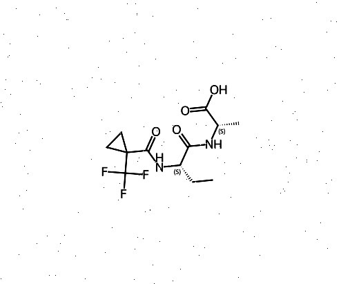 CC[C@H](NC(=O)C1(C(F)(F)F)CC1)C(=O)N[C@@H](C)C(=O)O